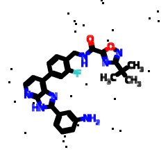 CC(C)(C)c1noc(C(=O)NCc2ccc(-c3ccnc4[nH]c(-c5cccc(N)c5)nc34)cc2F)n1